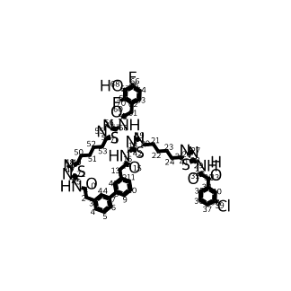 O=C(Cc1cccc(-c2cccc(CC(=O)Nc3nnc(CCCCc4nnc(NC(=O)C(O)c5cccc(Cl)c5)s4)s3)c2)c1)Nc1nnc(CCCCc2nnc(NC(=O)Cc3ccc(F)c(O)c3F)s2)s1